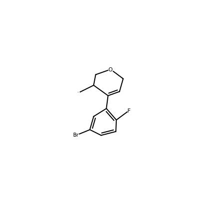 [CH2]C1COCC=C1c1cc(Br)ccc1F